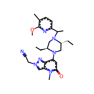 CC[C@H]1CN(C(C)c2ccc(C)c(OC)n2)[C@H](CC)CN1c1cc(=O)n(C)c2cn(CC#N)nc12